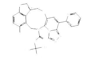 CC(C)(C)OC(=O)N1Cc2c(F)ccc3c2[C@H](CO3)COc2cc(-c3ccccn3)c3nncn3c21